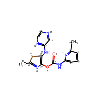 Cc1cccc(NC(=O)Oc2nc(C)sc2Nc2cnccn2)n1